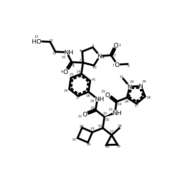 COC(=O)N1CCC(C(=O)NCCO)(c2cccc(NC(=O)[C@@H](NC(=O)c3ccnn3C)C(C3CCC3)C3(C)CC3)c2)C1